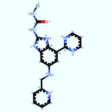 CCNC(=O)Nc1nc2cc(NCc3ccccn3)cc(-c3ncccn3)c2[nH]1